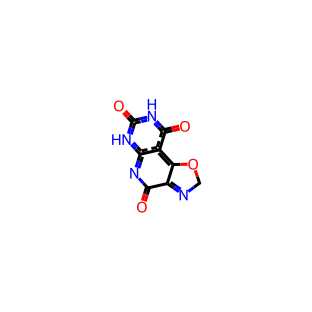 O=C1N=c2[nH]c(=O)[nH]c(=O)c2=C2OCN=C12